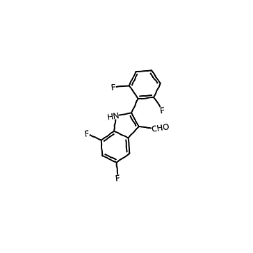 O=Cc1c(-c2c(F)cccc2F)[nH]c2c(F)cc(F)cc12